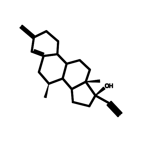 C#C[C@]1(O)CCC2C3C(CC[C@@]21C)C1CCC(=C)C=C1C[C@H]3C